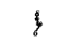 CN1CCN(CCCCC2CN(N=Cc3ccc(-c4ccc(Cl)cc4)o3)C(=O)O2)CC1.Cl.Cl